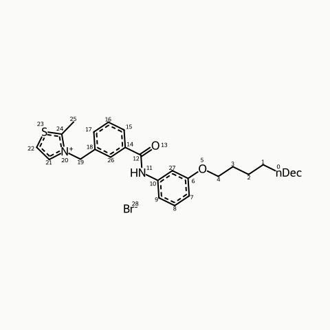 CCCCCCCCCCCCCCOc1cccc(NC(=O)c2cccc(C[n+]3ccsc3C)c2)c1.[Br-]